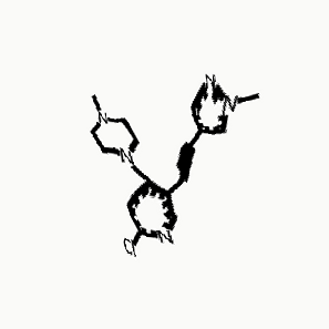 CN1CCN(c2cc(Cl)ncc2C#Cc2cnn(C)c2)CC1